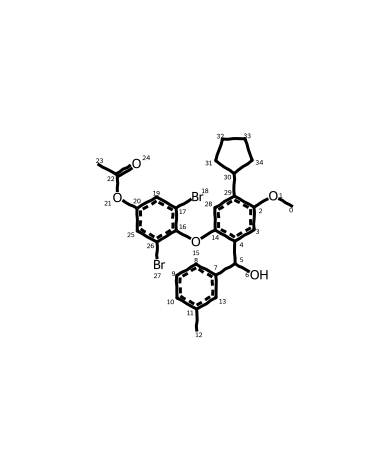 COc1cc(C(O)c2cccc(C)c2)c(Oc2c(Br)cc(OC(C)=O)cc2Br)cc1C1CCCC1